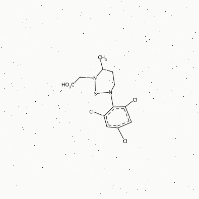 CC1CCN(c2c(Cl)cc(Cl)cc2Cl)SN1CC(=O)O